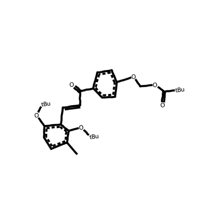 Cc1ccc(OC(C)(C)C)c(C=CC(=O)c2ccc(OCOC(=O)C(C)(C)C)cc2)c1OC(C)(C)C